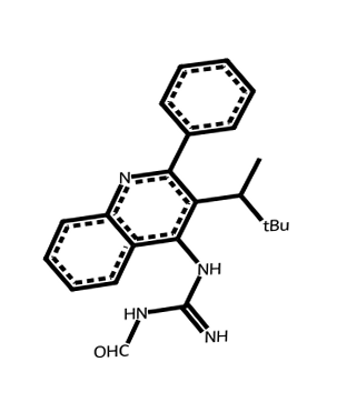 CC(c1c(-c2ccccc2)nc2ccccc2c1NC(=N)NC=O)C(C)(C)C